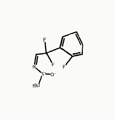 CC(C)(C)[S+]([O-])/N=C\C(F)(F)c1ccccc1F